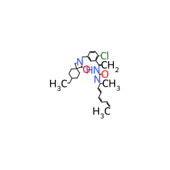 C=C(NC(=O)/N=C(C)/C=C/C=C\C=C/C)c1cc(CN2CC3(CCC(CC)CC3)C2=O)ccc1Cl